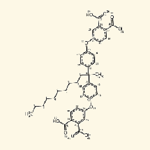 CCCCCCCCCCC(C)(c1ccc(Oc2ccc(C(=O)O)c(C(=O)O)c2)cc1)c1ccc(Oc2ccc(C(=O)O)c(C(=O)O)c2)cc1